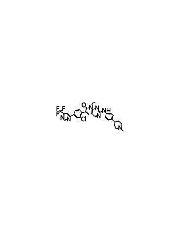 CCn1c(=O)c(-c2ccc(-c3cc(C(F)(F)F)ncn3)cc2Cl)cc2cnc(Nc3ccc(C4CCN(C)CC4)cc3)nc21